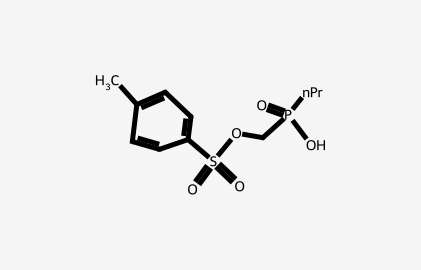 CCCP(=O)(O)COS(=O)(=O)c1ccc(C)cc1